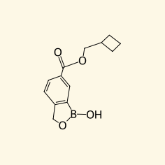 O=C(OCC1CCC1)c1ccc2c(c1)B(O)OC2